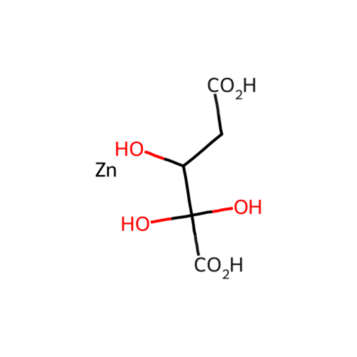 O=C(O)CC(O)C(O)(O)C(=O)O.[Zn]